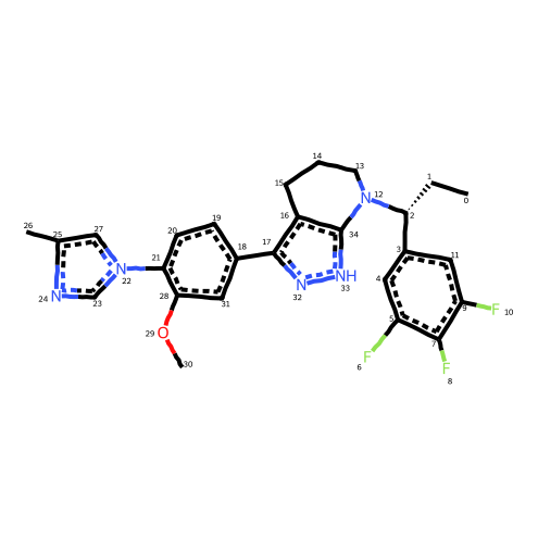 CC[C@H](c1cc(F)c(F)c(F)c1)N1CCCc2c(-c3ccc(-n4cnc(C)c4)c(OC)c3)n[nH]c21